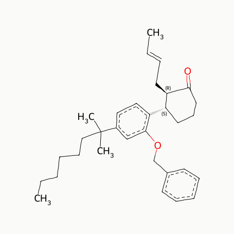 CC=CC[C@H]1C(=O)CCC[C@@H]1c1ccc(C(C)(C)CCCCCC)cc1OCc1ccccc1